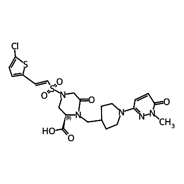 Cn1nc(N2CCC(CN3C(=O)CN(S(=O)(=O)C=Cc4ccc(Cl)s4)C[C@@H]3C(=O)O)CC2)ccc1=O